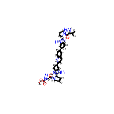 CN[C@H](C(=O)N1CCC[C@H]1c1nc2ccc(-c3ccc4nc(-c5ccc6nc([C@@H]7CCCN7C(=O)CNC(=O)OC)[nH]c6c5)ccc4c3)cc2[nH]1)C(C)C